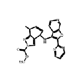 CC1C=CC(Nc2c(-c3ncccn3)oc3cnccc23)c2cn(C(=O)OC(C)(C)C)nc21